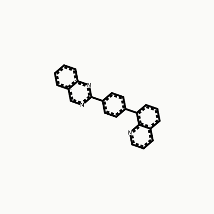 c1ccc2nc(-c3ccc(-c4cccc5cccnc45)cc3)ncc2c1